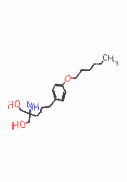 CCCCCCOc1ccc(CCCC(N)(CO)CO)cc1